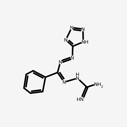 N=C(N)NN=C(N=Nc1nnn[nH]1)c1ccccc1